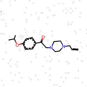 C=CCN1CCN(CC(=O)c2ccc(OC(C)C)cc2)CC1